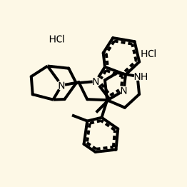 Cc1ccccc1C1(CCN2C3CCC2CC(n2c(C)nc4ccccc42)C3)CCNCC1.Cl.Cl